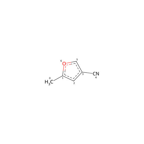 Cc1cc(C#N)co1